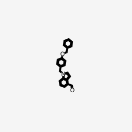 O=Cc1cccc2c1ccn2Cc1ccc(OCc2ccccc2)cc1